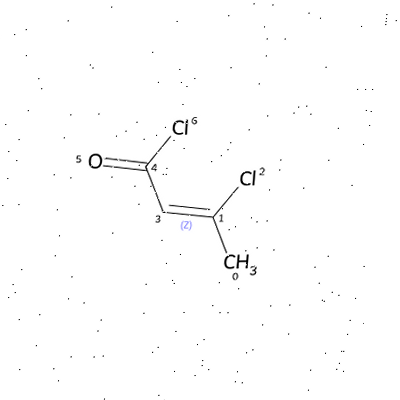 C/C(Cl)=C/C(=O)Cl